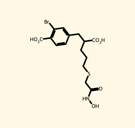 O=C(CSCCCC(Cc1ccc(C(=O)O)c(Br)c1)C(=O)O)NO